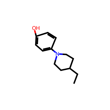 CCC1CCN(c2ccc(O)cc2)CC1